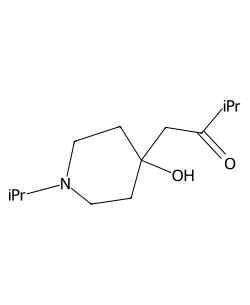 CC(C)C(=O)CC1(O)CCN(C(C)C)CC1